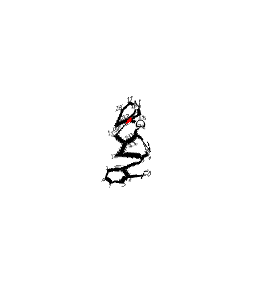 Fc1ccccc1-c1cnc2c(c1)C[C@@]1(CN3CCC1CC3)O2